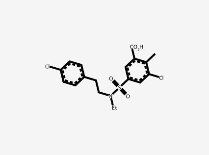 CCN(CCc1ccc(Cl)cc1)S(=O)(=O)c1cc(Cl)c(C)c(C(=O)O)c1